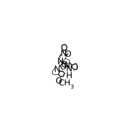 COc1cccc2c1CCCCN2C(=O)CN1C=CN(c2ccccc2)C(=O)C(Cc2n[nH]c3ccccc23)C1=O